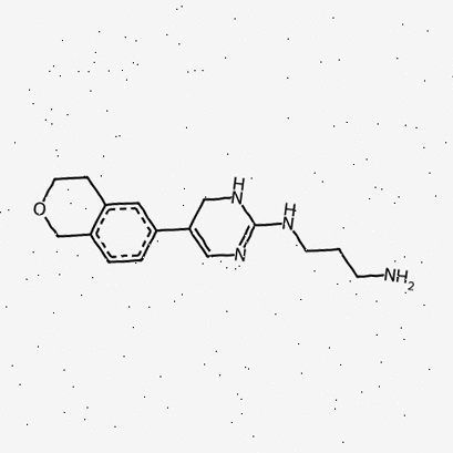 NCCCNC1=NC=C(c2ccc3c(c2)CCOC3)CN1